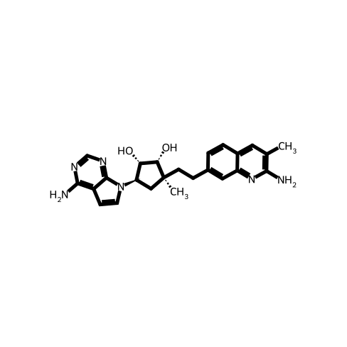 Cc1cc2ccc(CC[C@@]3(C)C[C@@H](n4ccc5c(N)ncnc54)[C@H](O)[C@@H]3O)cc2nc1N